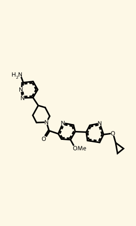 COc1cc(C(=O)N2CCC(c3ccc(N)nn3)CC2)ncc1-c1ccc(OC2CC2)nc1